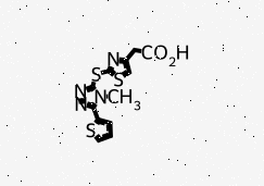 Cn1c(Sc2nc(CC(=O)O)cs2)nnc1-c1cccs1